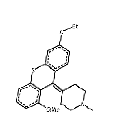 CCOc1ccc2c(c1)Sc1cccc(OC)c1C2=C1CCN(C)CC1